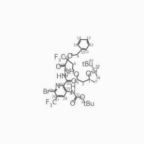 C[C@@H](CCOCCC(OCc1ccccc1)(C(=O)NNC(=O)c1nc(Br)c(C(F)(F)F)cc1NC(=O)OC(C)(C)C)C(F)(F)F)O[Si](C)(C)C(C)(C)C